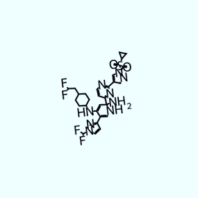 NC1(c2ccnc(-c3cnn(S(=O)(=O)C4CC4)c3)n2)C=C(NC2CCC(CC(F)F)CC2)C(c2ccn(C(F)F)n2)=CN1